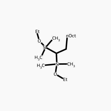 CCCCCCCCCC([Si](C)(C)OCC)[Si](C)(C)OCC